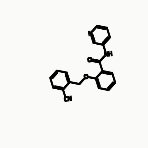 N#Cc1ccccc1COc1ccccc1C(=O)Nc1cccnc1